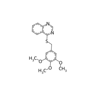 COc1cc(CSc2ncnc3ccccc23)cc(OC)c1OC